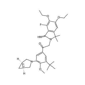 CCOc1cc2c(c(F)c1OCC)C(=N)N(CC(=O)c1cc(N3C[C@H]4C[C@H]4C3)c(OC)c(C(C)(C)C)c1)C2(C)C